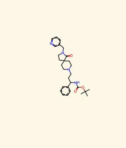 CC(C)(C)OC(=O)NC(CCN1CCC2(CC1)CCN(Cc1cccnc1)C2=O)c1ccccc1